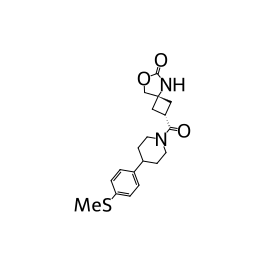 CSc1ccc(C2CCN(C(=O)[C@H]3C[C@]4(COC(=O)N4)C3)CC2)cc1